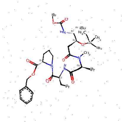 CC[C@H](C)[C@@H](NC(=O)OC(C)(C)C)[C@H](CC(=O)N(C)[C@H](C(=O)N[C@@H](CC(C)C)C(=O)N1CCC[C@H]1C(=O)OCc1ccccc1)C(C)C)O[Si](C)(C)C(C)(C)C